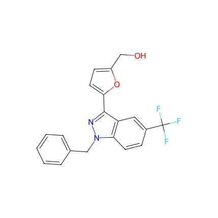 OCc1ccc(-c2nn(Cc3ccccc3)c3ccc(C(F)(F)F)cc23)o1